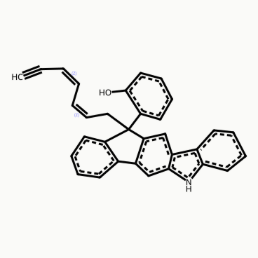 C#C/C=C\C=C/CC1(c2ccccc2O)c2ccccc2-c2cc3[nH]c4ccccc4c3cc21